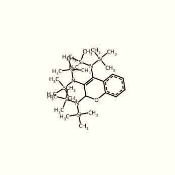 C[Si](C)(C)N(C1=C(N([Si](C)(C)C)[Si](C)(C)C)C(N([Si](C)(C)C)[Si](C)(C)C)Oc2ccccc21)[Si](C)(C)C